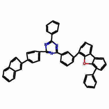 c1ccc(-c2nc(-c3ccc(-c4ccc5ccccc5c4)cc3)nc(-c3cccc(-c4cccc5c4oc4c(-c6ccccc6)cccc45)c3)n2)cc1